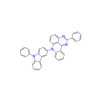 c1ccc(-c2nc3c4c(cccc4n2)N(c2ccc4c(c2)c2ccccc2n4-c2ccccc2)c2ccccc2-3)cc1